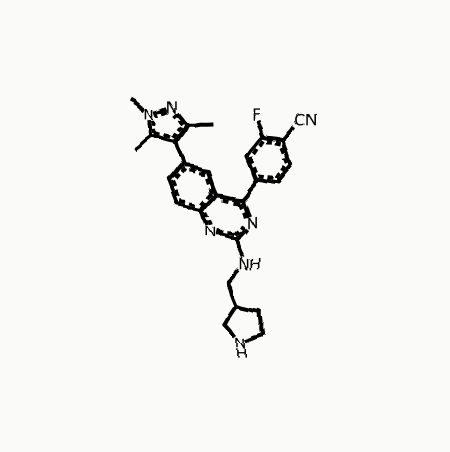 Cc1nn(C)c(C)c1-c1ccc2nc(NCC3CCNC3)nc(-c3ccc(C#N)c(F)c3)c2c1